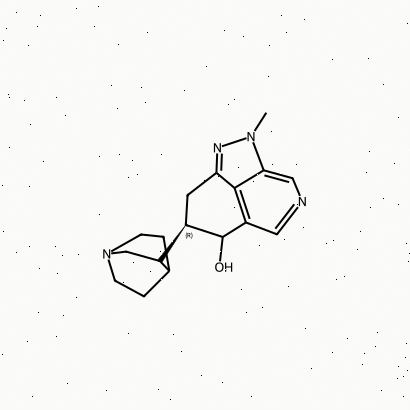 Cn1nc2c3c(cncc31)C(O)[C@@H](C1CN3CCC1CC3)C2